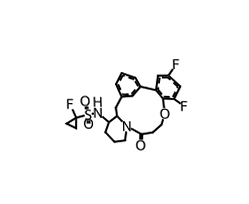 O=C1CCOc2c(F)cc(F)cc2-c2cccc(c2)CC2C(NS(=O)(=O)C3(F)CC3)CCCN12